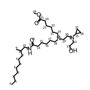 CCCCCCCCC(C)CNC(=O)CCCCCN(CCCCCC(=O)OC)CCN(CCO)C1CC1